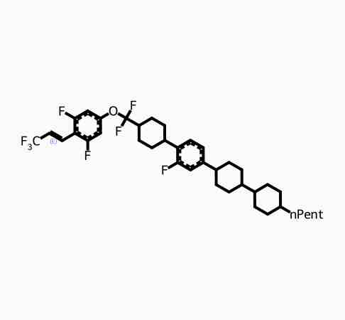 CCCCCC1CCC(C2CCC(c3ccc(C4CCC(C(F)(F)Oc5cc(F)c(/C=C/C(F)(F)F)c(F)c5)CC4)c(F)c3)CC2)CC1